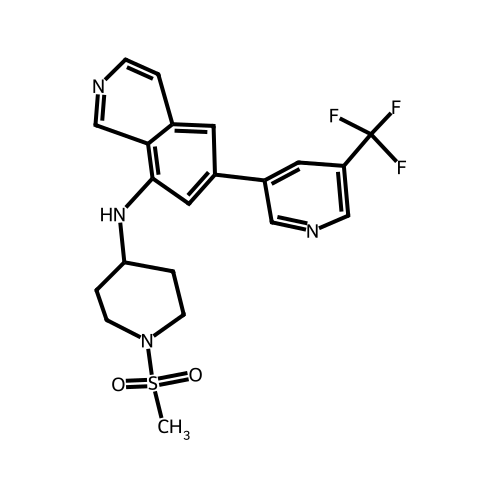 CS(=O)(=O)N1CCC(Nc2cc(-c3cncc(C(F)(F)F)c3)cc3ccncc23)CC1